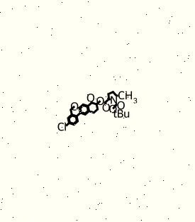 CC1CCC(C(=O)OC2CCc3cc4c(cc3C2=O)OCc2cc(Cl)ccc2-4)N1C(=O)OC(C)(C)C